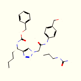 CCCC[C@@H](NC(=O)OCc1ccccc1)c1cn([C@@H](CCCNC(N)=O)C(=O)Nc2ccc(CO)cc2)nn1